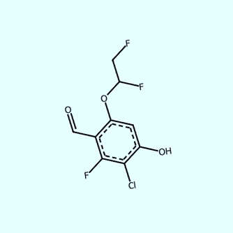 O=Cc1c(OC(F)CF)cc(O)c(Cl)c1F